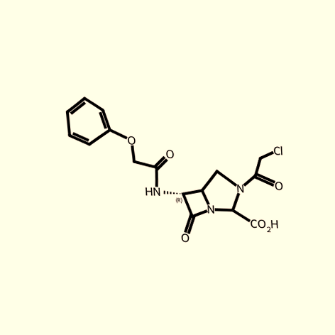 O=C(COc1ccccc1)N[C@H]1C(=O)N2C1CN(C(=O)CCl)C2C(=O)O